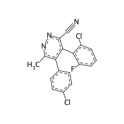 Cc1nnc(C#N)c(-c2c(F)cccc2Cl)c1-c1ccc(Cl)cc1